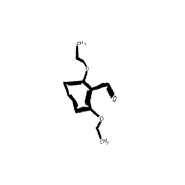 CCOc1cccc(OCC)c1C=O